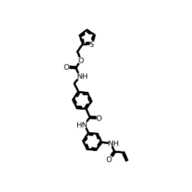 C=CC(=O)Nc1cccc(NC(=O)c2ccc(CNC(=O)OCc3cccs3)cc2)c1